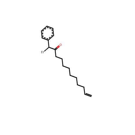 C=CCCCCCCCCC(=O)C(CC)c1ccccc1